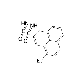 CCc1ccc2cccc3c2c1C=CC3.N=C=O.N=C=O